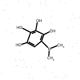 CN(C)c1cc(O)c(O)c(O)c1O